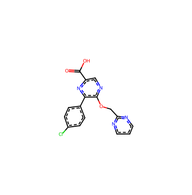 O=C(O)c1cnc(OCc2ncccn2)c(-c2ccc(Cl)cc2)n1